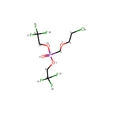 O=P(COCCCl)(OCC(F)(F)F)OCC(F)(F)F